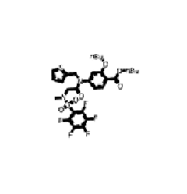 CCCCOC(=O)c1ccc(N(Cc2cccs2)C(=O)CN(C)S(=O)(=O)c2c(F)c(F)c(F)c(F)c2F)cc1OCCCC